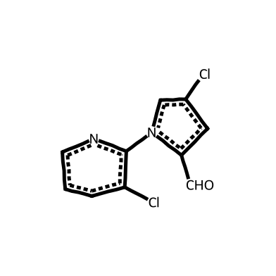 O=Cc1cc(Cl)cn1-c1ncccc1Cl